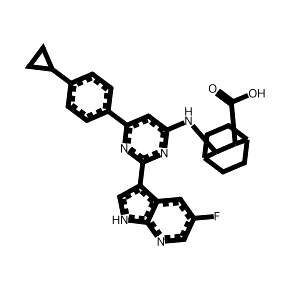 O=C(O)C1C2CCC(CC2)C1Nc1cc(-c2ccc(C3CC3)cc2)nc(-c2c[nH]c3ncc(F)cc23)n1